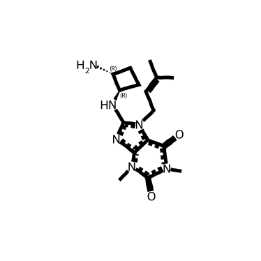 CC(C)=CCn1c(N[C@@H]2CC[C@H]2N)nc2c1c(=O)n(C)c(=O)n2C